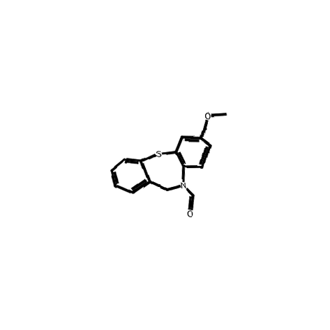 COc1ccc2c(c1)Sc1ccccc1CN2C=O